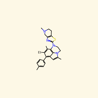 CCc1c(C)c2c3c(cc(C)n3CCN2c2nc3c(s2)CCN(C)C3)c1-c1ccc(C)cc1